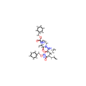 C=CCC(C(=O)NOCc1ccccc1)[C@@H](CC(C)C)C(=O)NN(CC(C)C)C(=O)[C@@H](C)NC(=O)OCc1ccccc1